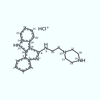 Cl.c1ccc2c(c1)nc(NCCN1CCNCC1)c1c3ccccc3[nH]c21